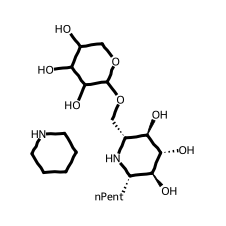 C1CCNCC1.CCCCC[C@@H]1N[C@H](COC2OCC(O)C(O)C2O)[C@@H](O)[C@H](O)[C@H]1O